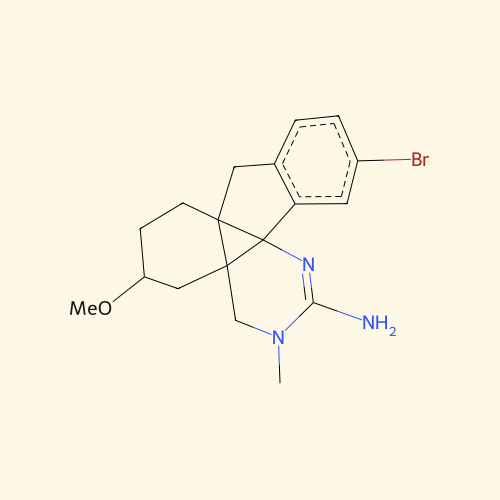 COC1CCC23Cc4ccc(Br)cc4C24N=C(N)N(C)CC34C1